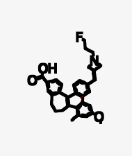 COc1cc(C)c(C2=C(c3ccc(C=C4CN(CCCF)C4)cc3)c3ccc(C(=O)O)cc3CCC2)c(C)c1